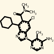 Cc1c(N)ncnc1-n1cnc2c(C3CCCCC3)c(C(=O)N(C)C)c(Cl)cc21